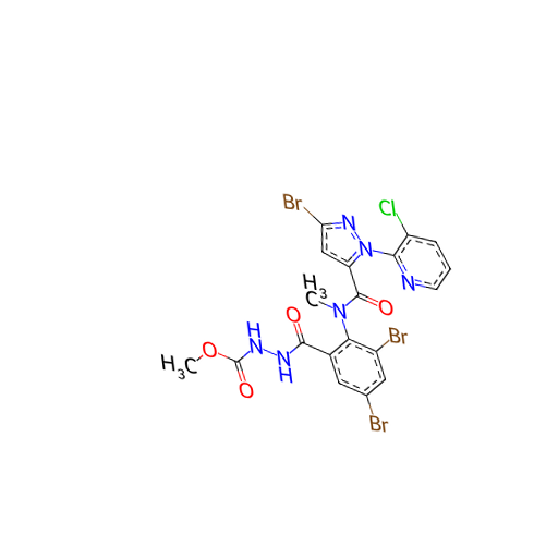 COC(=O)NNC(=O)c1cc(Br)cc(Br)c1N(C)C(=O)c1cc(Br)nn1-c1ncccc1Cl